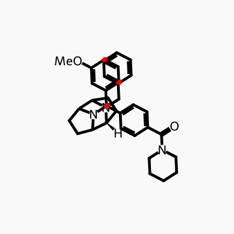 COc1cccc(C(c2ccc(C(=O)N3CCCCC3)cc2)N2C3CCC2[C@H]2CCC3N2Cc2ccccc2)c1